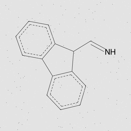 N=CC1c2ccccc2-c2ccccc21